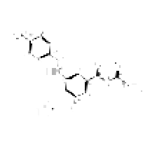 Cl.Cl.N=C(N)NC(=O)c1cc(Cl)cc(NCc2ccc(Cl)cc2)c1